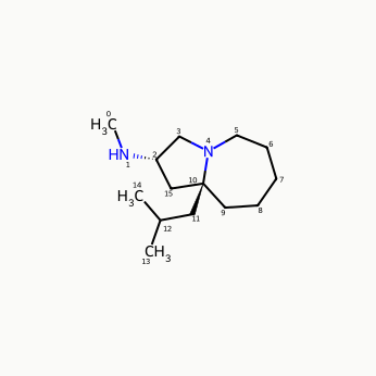 CN[C@@H]1CN2CCCCC[C@]2(CC(C)C)C1